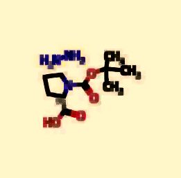 CC(C)(C)OC(=O)N1CCC[C@H]1C(=O)O.NN